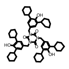 O=c1n(Cc2cc(C3CCCCC3)c(O)c(C3CCCCC3)c2)c(=O)n(Cc2cc(C3CCCCC3)c(O)c(C3CCCCC3)c2)c(=O)n1Cc1cc(C2CCCCC2)c(O)c(C2CCCCC2)c1